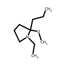 CCCC1(OC)CCCN1CC